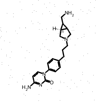 NCC1C2CN(CCCc3ccc(-n4ccc(N)nc4=O)cc3)C[C@@H]12